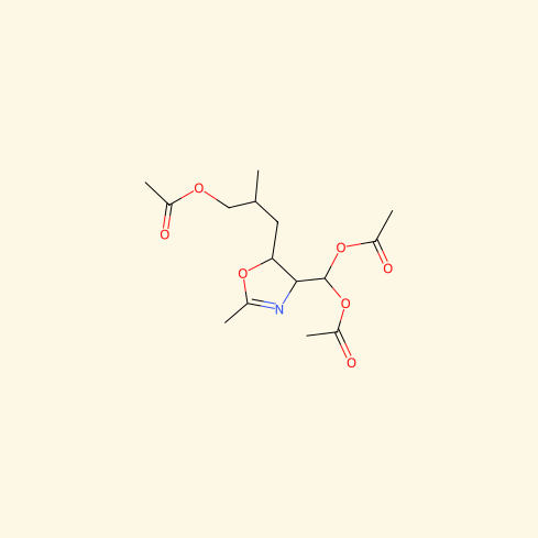 CC(=O)OCC(C)CC1OC(C)=NC1C(OC(C)=O)OC(C)=O